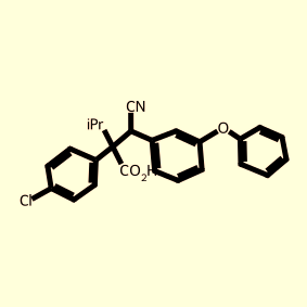 CC(C)C(C(=O)O)(c1ccc(Cl)cc1)C(C#N)c1cccc(Oc2ccccc2)c1